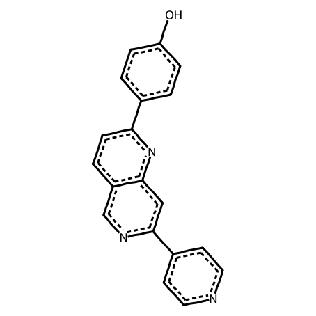 Oc1ccc(-c2ccc3cnc(-c4ccncc4)cc3n2)cc1